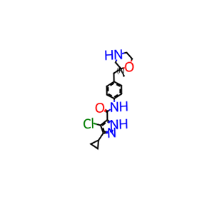 C[C@@]1(Cc2ccc(NC(=O)c3[nH]nc(C4CC4)c3Cl)cc2)CNCCO1